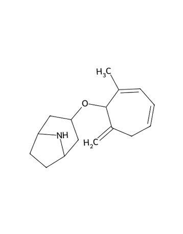 C=C1CC=CC=C(C)C1OC1CC2CCC(C1)N2